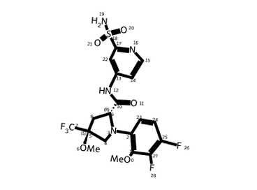 COc1c(N2C[C@](OC)(C(F)(F)F)C[C@@H]2C(=O)Nc2ccnc(S(N)(=O)=O)c2)ccc(F)c1F